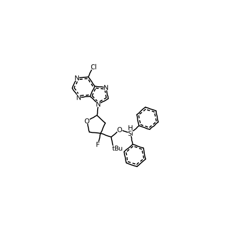 CC(C)(C)C(O[SiH](c1ccccc1)c1ccccc1)C1(F)COC(n2cnc3c(Cl)ncnc32)C1